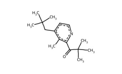 Cc1c(CC(C)(C)C)ccnc1C(=O)C(C)(C)C